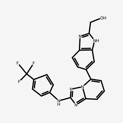 OCc1nc2ccc(-c3cccc4nc(Nc5ccc(C(F)(F)F)cc5)nn34)cc2[nH]1